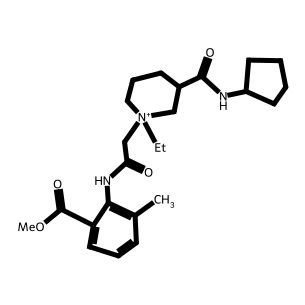 CC[N+]1(CC(=O)Nc2c(C)cccc2C(=O)OC)CCCC(C(=O)NC2CCCC2)C1